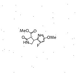 COC(=O)C1C(=O)NCC1c1ncc(OC)cc1F